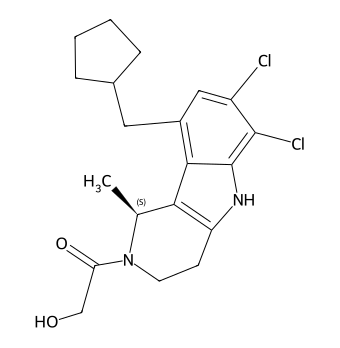 C[C@H]1c2c([nH]c3c(Cl)c(Cl)cc(CC4CCCC4)c23)CCN1C(=O)CO